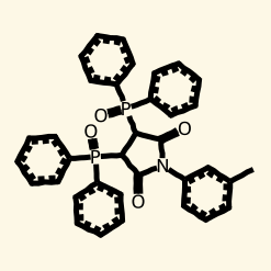 Cc1cccc(N2C(=O)C(P(=O)(c3ccccc3)c3ccccc3)C(P(=O)(c3ccccc3)c3ccccc3)C2=O)c1